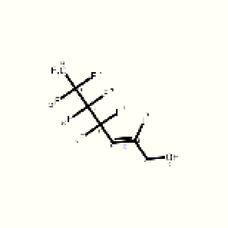 OC/C(I)=C/C(F)(F)C(F)(F)C(F)(F)C(F)(F)F